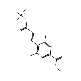 COC(=O)c1cc(Br)c(C=CC(=O)OC(C)(C)C)c(Br)c1